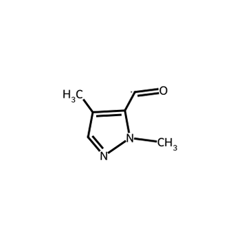 Cc1cnn(C)c1[C]=O